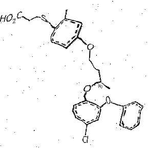 Cc1cc(OCC[C@@H](C)Oc2ccc(Cl)cc2Oc2ccccc2)ccc1SCC(=O)O